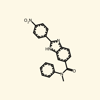 CN(C(=O)c1ccc2nc(-c3ccc([N+](=O)[O-])cc3)[nH]c2c1)c1ccccc1